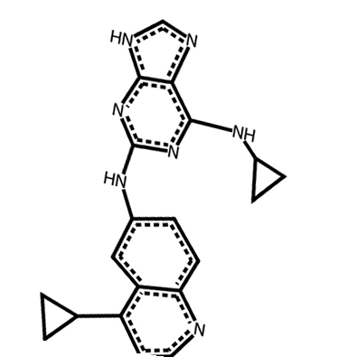 c1cc(C2CC2)c2cc(Nc3nc(NC4CC4)c4nc[nH]c4n3)ccc2n1